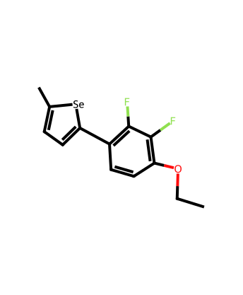 CCOc1ccc(-c2ccc(C)[se]2)c(F)c1F